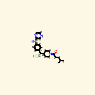 CC(C)CCC(=O)N1CCC(Cc2ccc(Nc3cnccn3)cc2)CC1.Cl